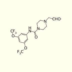 O=[C]CN1CCN(C(=O)Nc2cc(OC(F)(F)F)cc(OC(F)(F)F)c2)CC1